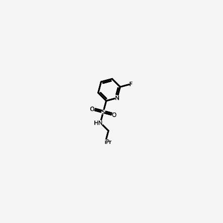 CC(C)CNS(=O)(=O)c1cccc(F)n1